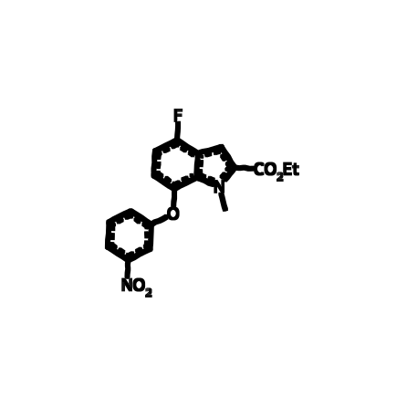 CCOC(=O)c1cc2c(F)ccc(Oc3cccc([N+](=O)[O-])c3)c2n1C